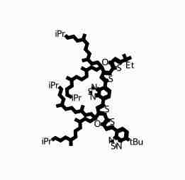 CCC(C)(C)c1cc2c(s1)-c1sc(-c3ccc(-c4cc5c(s4)-c4sc(-c6ccc(C(C)(C)C)c7nsnc67)cc4OC5(CCC(C)CCCC(C)CCCC(C)C)CCC(C)CCCC(C)CCCC(C)C)c4nsnc34)cc1C(CCC(C)CCCC(C)CCCC(C)C)(CCC(C)CCCC(C)CCCC(C)C)O2